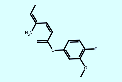 C=C(/C=C\C(N)=C/C)Oc1ccc(F)c(OC)c1